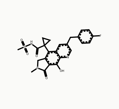 CN1Cc2c(c(O)c3ncc(Cc4ccc(F)cc4)cc3c2C2(C(=O)NS(C)(=O)=O)CC2)C1=O